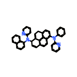 C1=CC(N(c2ccccn2)c2cccc3ccccc23)C2=CCc3ccc(N(c4ccccc4)c4ccccn4)c4ccc1c2c34